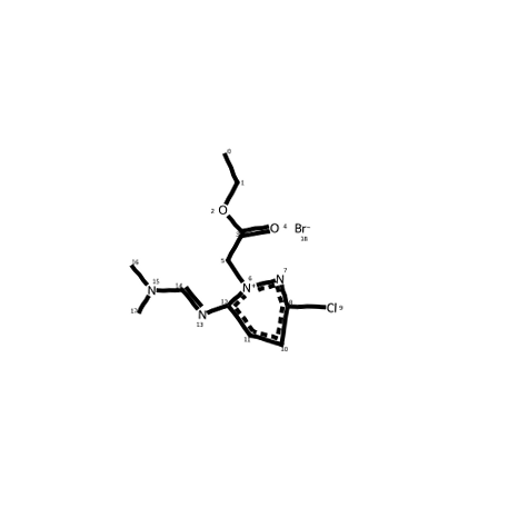 CCOC(=O)C[n+]1nc(Cl)ccc1/N=C/N(C)C.[Br-]